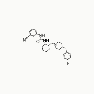 N#Cc1cccc(NC(=O)NC2CCCCC2CN2CCC(Cc3ccc(F)cc3)CC2)c1